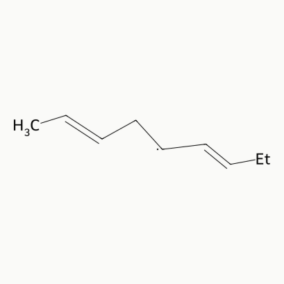 CC=CC[CH]C=CCC